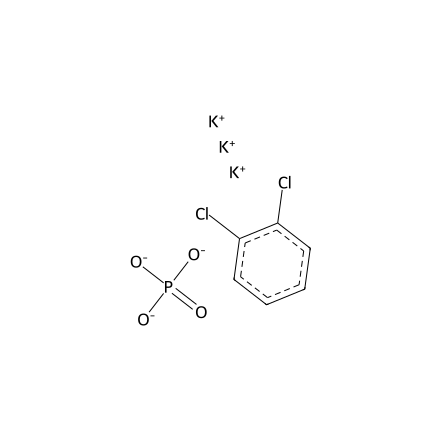 Clc1ccccc1Cl.O=P([O-])([O-])[O-].[K+].[K+].[K+]